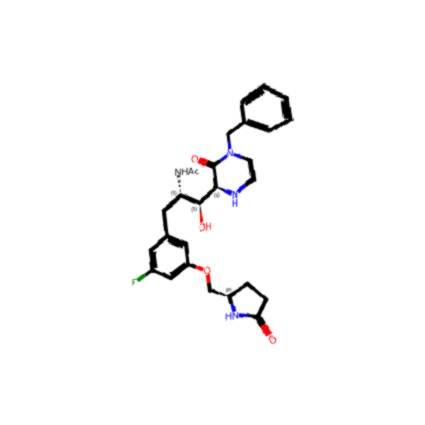 CC(=O)N[C@@H](Cc1cc(F)cc(OC[C@H]2CCC(=O)N2)c1)[C@H](O)[C@@H]1NCCN(Cc2ccccc2)C1=O